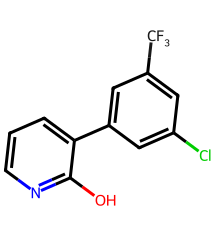 Oc1ncccc1-c1cc(Cl)cc(C(F)(F)F)c1